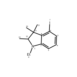 CCN1c2cccc(I)c2C(C)(C)C1C